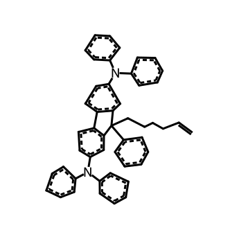 C=CCCCCC1(c2ccccc2)c2cc(N(c3ccccc3)c3ccccc3)ccc2-c2ccc(N(c3ccccc3)c3ccccc3)cc21